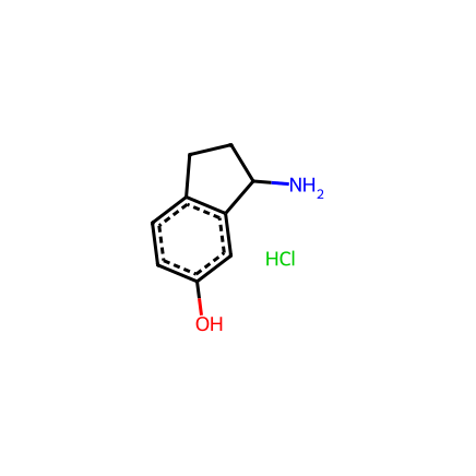 Cl.NC1CCc2ccc(O)cc21